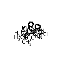 CC(C)OP(=O)(C=CC(O[Si](c1ccccc1)(c1ccccc1)C(C)(C)C)C(C)n1cnc2c(Cl)ncnc21)OC(C)C